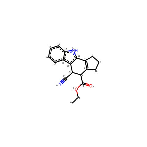 CCOC(=O)C1C2=C(CCC2)c2[nH]c3ccccc3c2C1C#N